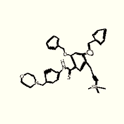 C[Si](C)(C)C#CCc1cc(C(=S)Nc2ccc(CN3CCOCC3)cc2)c(OCc2ccccc2)cc1OCc1ccccc1